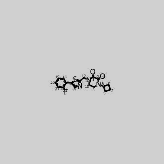 O=C1C(=O)N(C2CCC2)CCN1Cc1ncc(-c2ccccc2F)s1